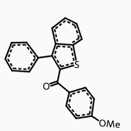 COc1ccc(C(=O)c2sc3ccccc3c2-c2ccccc2)cc1